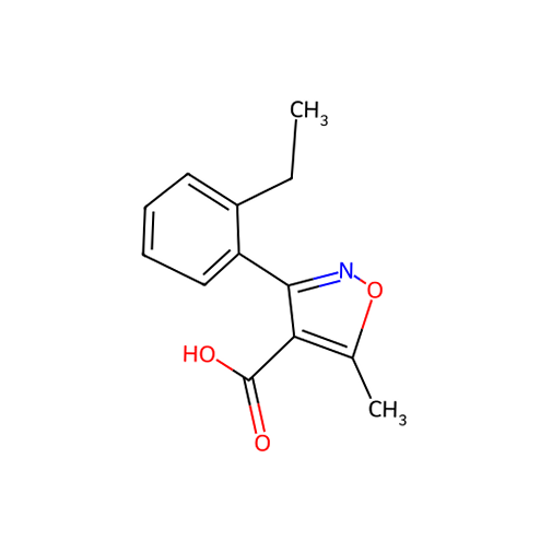 CCc1ccccc1-c1noc(C)c1C(=O)O